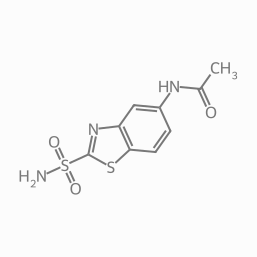 CC(=O)Nc1ccc2sc(S(N)(=O)=O)nc2c1